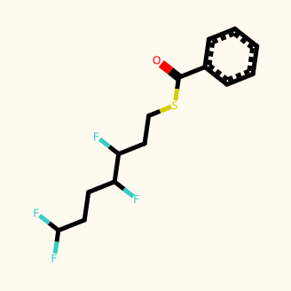 O=C(SCCC(F)C(F)CCC(F)F)c1ccccc1